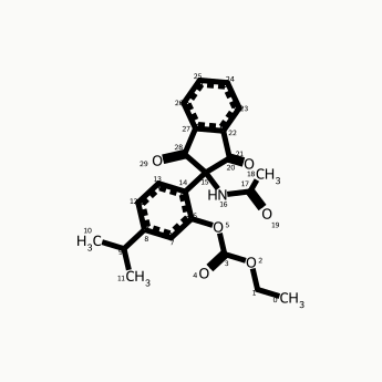 CCOC(=O)Oc1cc(C(C)C)ccc1C1(NC(C)=O)C(=O)c2ccccc2C1=O